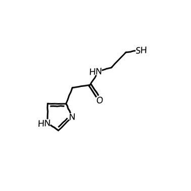 O=C(Cc1c[nH]cn1)NCCS